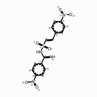 N=C(NS(=O)(=O)C=Cc1ccc([N+](=O)[O-])cc1)c1ccc([N+](=O)[O-])cc1